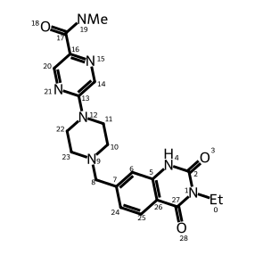 CCn1c(=O)[nH]c2cc(CN3CCN(c4cnc(C(=O)NC)cn4)CC3)ccc2c1=O